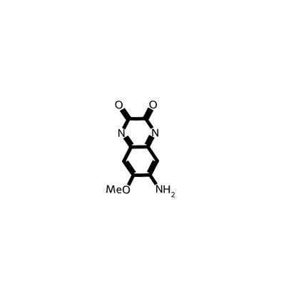 COc1cc2c(cc1N)=NC(=O)C(=O)N=2